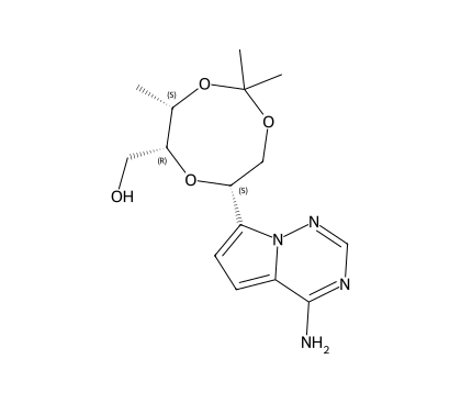 C[C@@H]1OC(C)(C)OC[C@H](c2ccc3c(N)ncnn23)O[C@@H]1CO